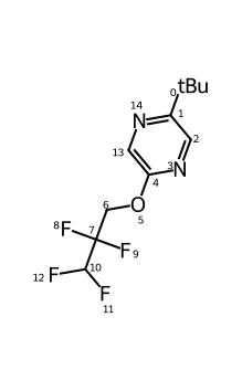 CC(C)(C)c1cnc(OCC(F)(F)C(F)F)cn1